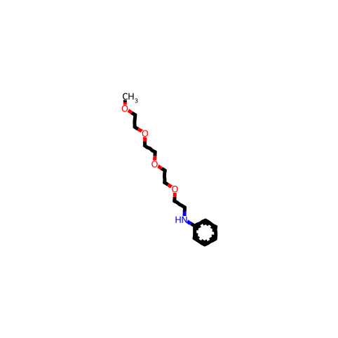 COCCOCCOCCOCCNc1ccccc1